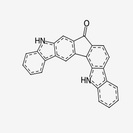 O=C1c2cc3[nH]c4ccccc4c3cc2-c2c1ccc1c2[nH]c2ccccc21